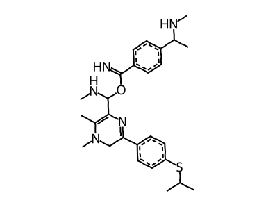 CNC(OC(=N)c1ccc(C(C)NC)cc1)C1=C(C)N(C)CC(c2ccc(SC(C)C)cc2)=N1